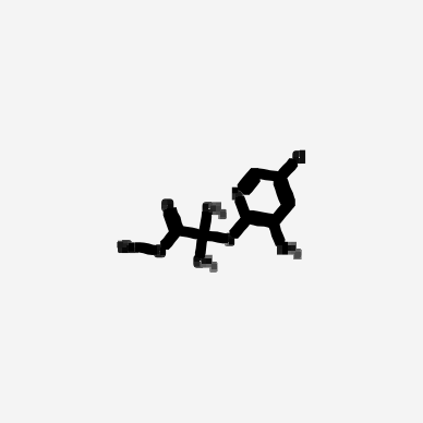 CC(C)(C)OC(=O)C(C)(C)Sc1ncc(Cl)cc1N